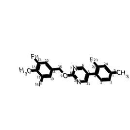 Cc1ccc(-c2cnc(OCc3cc(F)c(C)c(F)c3)nc2)c(F)c1